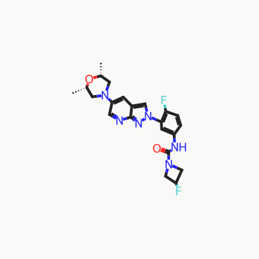 C[C@@H]1CN(c2cnc3nn(-c4cc(NC(=O)N5CC(F)C5)ccc4F)cc3c2)C[C@H](C)O1